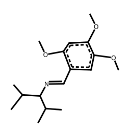 COc1cc(OC)c(OC)cc1C=NC(C(C)C)C(C)C